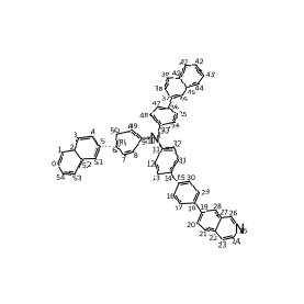 C1=CC2C=CC([C@H]3C=CC(N(c4ccc(-c5ccc(-c6ccc7ccncc7c6)cc5)cc4)c4ccc(-c5ccc6ccccc6c5)cc4)=CC3)=CC2C=C1